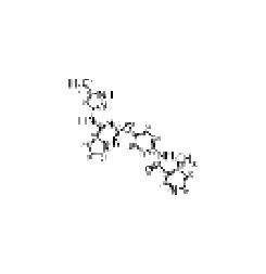 Cc1cc(Nc2nc(Sc3ccc(NC(=O)c4cnccc4C)cc3)nn3cccc23)n[nH]1